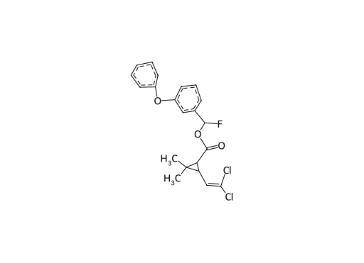 CC1(C)C(C=C(Cl)Cl)C1C(=O)OC(F)c1cccc(Oc2ccccc2)c1